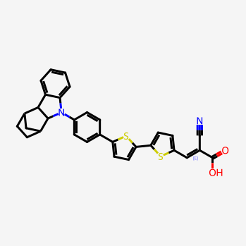 N#C/C(=C\c1ccc(-c2ccc(-c3ccc(N4c5ccccc5C5C6CCC(C6)C54)cc3)s2)s1)C(=O)O